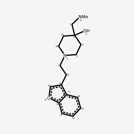 CNCC1(O)CCN(CCc2coc3ccccc23)CC1